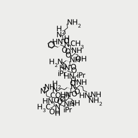 CC(C)[C@H](NC(=O)[C@H](CC(N)=O)NC(=O)[C@H](CO)NC(=O)[C@H](C)NC(=O)[C@H](Cc1ccccc1)NC(=O)[C@@H](N)CCCCN)C(=O)N[C@H](C(=O)N[C@@H](CCCNC(=N)N)C(=O)N[C@@H](CCCCN)C(=O)N[C@@H](CS)C(=O)N[C@H](C(=O)N[C@H](C(=O)N[C@@H](Cc1c[nH]cn1)C(=O)O)[C@@H](C)O)C(C)C)C(C)C